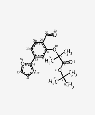 CC(C)(C)OC(=O)C(C)(C)Oc1cc(-c2ncco2)ccc1C=O